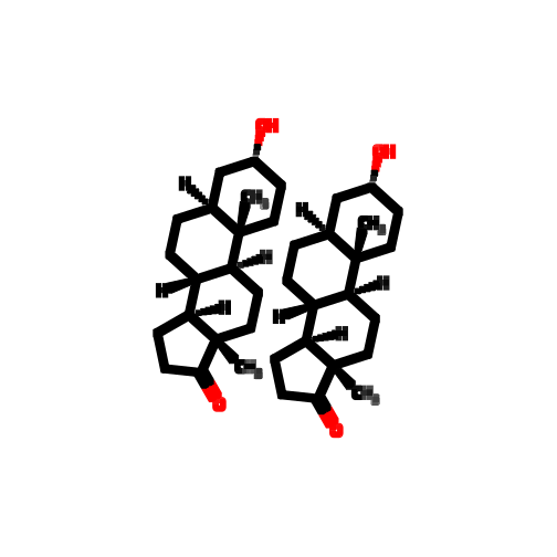 C[C@]12CC[C@@H](O)C[C@@H]1CC[C@@H]1[C@@H]2CC[C@]2(C)C(=O)CC[C@@H]12.C[C@]12CC[C@@H](O)C[C@@H]1CC[C@@H]1[C@@H]2CC[C@]2(C)C(=O)CC[C@@H]12